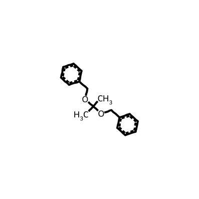 CC(C)(OCc1ccccc1)OCc1ccccc1